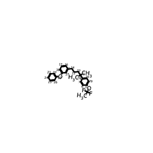 CC(F)(F)Oc1ccc(C(C)(C)CCCc2cccc(Oc3ccccc3)c2)cc1